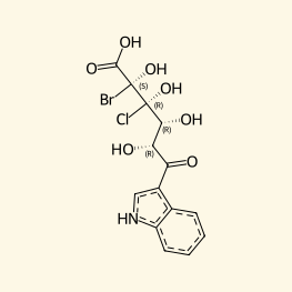 O=C(c1c[nH]c2ccccc12)[C@H](O)[C@@H](O)[C@@](O)(Cl)[C@@](O)(Br)C(=O)O